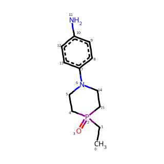 CCP1(=O)CCN(c2ccc(N)cc2)CC1